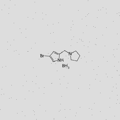 B.Brc1c[nH]c(CN2CCCC2)c1